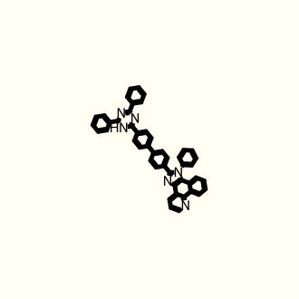 c1ccc(C2=NC(c3ccccc3)NC(c3ccc(-c4ccc(-c5nc6c7cccnc7c7ccccc7c6n5-c5ccccc5)cc4)cc3)=N2)cc1